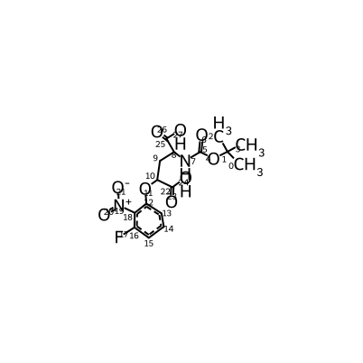 CC(C)(C)OC(=O)NC(CC(Oc1cccc(F)c1[N+](=O)[O-])C(=O)O)C(=O)O